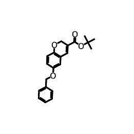 CC(C)(C)OC(=O)C1=Cc2cc(OCc3ccccc3)ccc2OC1